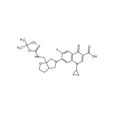 CC(C)(C)OC(=O)NCC12CN(c3cc4c(cc3F)c(=O)c(C(=O)O)cn4C3CC3)CC1CCO2